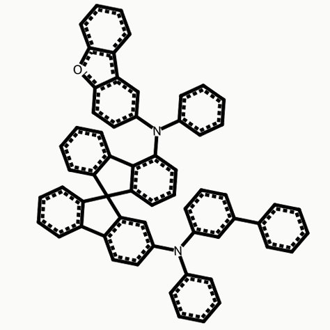 c1ccc(-c2cccc(N(c3ccccc3)c3ccc4c(c3)C3(c5ccccc5-4)c4ccccc4-c4c(N(c5ccccc5)c5ccc6oc7ccccc7c6c5)cccc43)c2)cc1